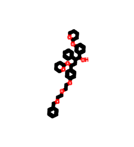 OC(c1cccc(OC2CCCCO2)c1)C(CC(OC1CCCCO1)c1ccc(OCCOCCOCc2ccccc2)cc1)c1ccccc1